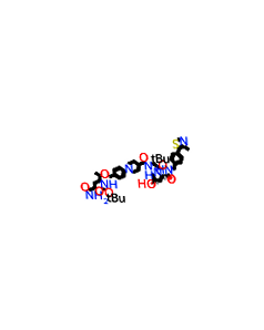 Cc1ncsc1-c1ccc(CNC(=O)[C@@H]2C[C@@H](O)CN2C(=O)C(NC(=O)C2CCN(c3ccc(COC(C)C(CCC(N)=O)NC(=O)OC(C)(C)C)cc3)CC2)C(C)(C)C)cc1